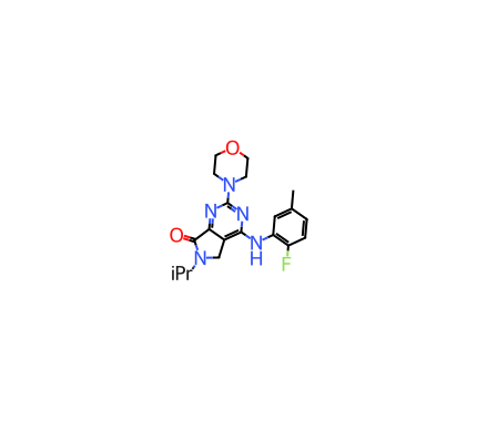 Cc1ccc(F)c(Nc2nc(N3CCOCC3)nc3c2CN(C(C)C)C3=O)c1